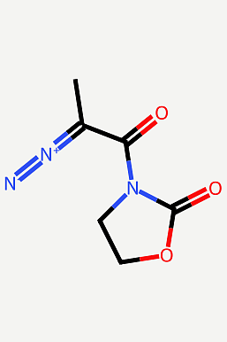 CC(=[N+]=[N-])C(=O)N1CCOC1=O